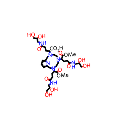 COC(=O)C(CCC(=O)NCC(O)CO)N1CCN(C(CCC(=O)NCC(O)CO)C(=O)O)Cc2cccc(n2)CN(C(CCC(=O)NCC(O)CO)C(=O)OC)CC1